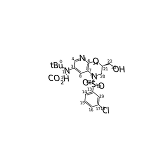 CC(C)(C)N(C(=O)O)c1cnc2c(c1)N(S(=O)(=O)c1cccc(Cl)c1)C[C@H](CO)O2